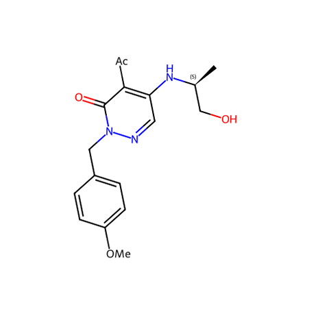 COc1ccc(Cn2ncc(N[C@@H](C)CO)c(C(C)=O)c2=O)cc1